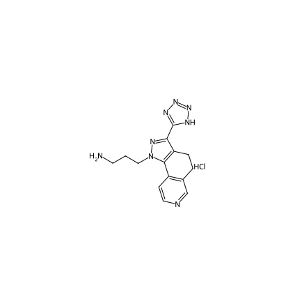 Cl.NCCCn1nc(-c2nnn[nH]2)c2c1-c1ccncc1CC2